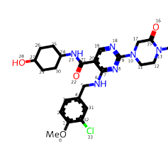 COc1ccc(CNc2nc(N3CCN(C)C(=O)C3)ncc2C(=O)NC2CCC(O)CC2)cc1Cl